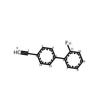 C#Cc1ccc(-c2ccccc2F)cc1